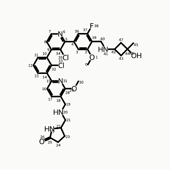 COc1cc(-c2nccc(-c3cccc(-c4ccc(CNCC5CCC(=O)N5)c(OC)n4)c3Cl)c2Cl)cc(F)c1CNC1CC(C)(O)C1